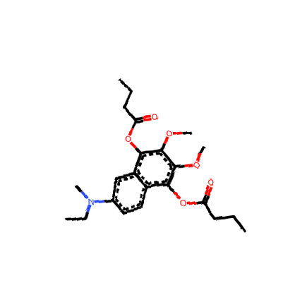 CCCC(=O)Oc1c(OC)c(OC)c(OC(=O)CCC)c2cc(N(C)CC)ccc12